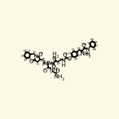 NC(=O)CNC(=O)[C@H](CSC1CC(=O)N(Cc2ccccc2)C1=O)NC(=O)[C@@H](N)CCNC(=O)Oc1ccc(C[C@H](N)C(=O)Nc2ccccc2)cc1